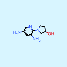 Nc1cnc(N2CCC(O)C2)c(N)c1